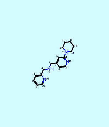 c1ccc(CNCc2ccnc(N3CCCCC3)c2)nc1